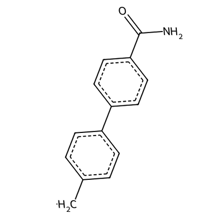 [CH2]c1ccc(-c2ccc(C(N)=O)cc2)cc1